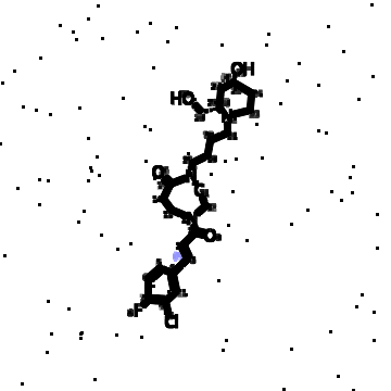 O=C(/C=C/c1ccc(F)c(Cl)c1)N1CCC(=O)N(CCCCN2CC[C@@H](O)C[C@H]2CO)CC1